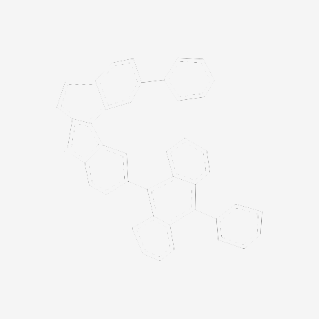 c1ccc(-c2ccc3ccc4oc5ccc(-c6c7ccccc7c(-c7ccccc7)c7ccccc67)cc5c4c3c2)cc1